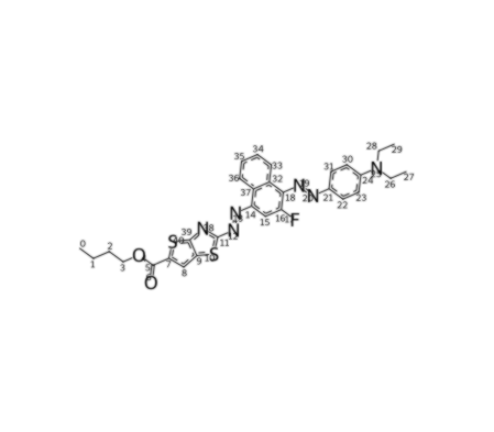 CCCCOC(=O)c1cc2sc(N=Nc3cc(F)c(N=Nc4ccc(N(CC)CC)cc4)c4ccccc34)nc2s1